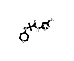 CC(C)(NC1CCOCC1)C(=O)Nc1cc(C(C)(C)C)on1